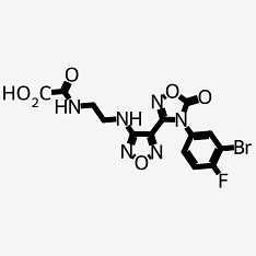 O=C(O)C(=O)NCCNc1nonc1-c1noc(=O)n1-c1ccc(F)c(Br)c1